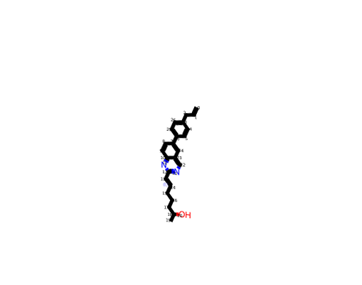 C=CCc1ccc(-c2ccc3nc(/C=C/CCCC(C)O)ncc3c2)cc1